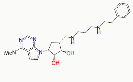 CNc1ncnc2c1ccn2[C@@H]1C[C@H](CNCCCNCCc2ccccc2)[C@@H](O)[C@H]1O